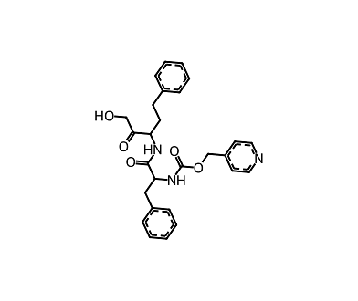 O=C(NC(Cc1ccccc1)C(=O)NC(CCc1ccccc1)C(=O)CO)OCc1ccncc1